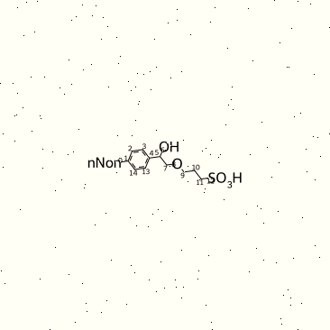 CCCCCCCCCc1ccc(C(O)COCCCS(=O)(=O)O)cc1